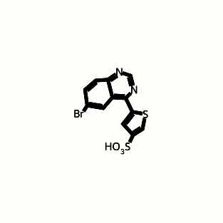 O=S(=O)(O)c1csc(-c2ncnc3ccc(Br)cc23)c1